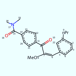 CCCc1cccc(C=C(OC)C(=O)c2ccc(C(=O)N(C)C)cc2)c1